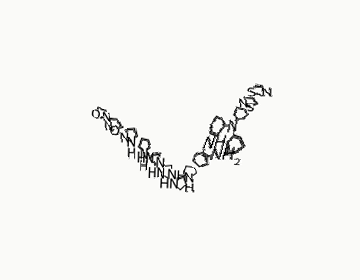 C1=CNCC1.C1CCNC1.C1CNCN1.Nc1ccccc1N.c1c[nH]cn1.c1cc[nH]c1.c1ccc(N(c2ccccc2)c2ccccc2)cc1.c1cn[nH]c1.c1cnoc1.c1cnsc1.c1cocn1.c1cscn1